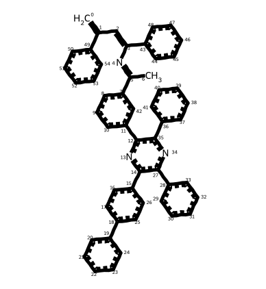 C=C(/C=C(\N=C(/C)c1cccc(-c2nc(-c3ccc(-c4ccccc4)cc3)c(-c3ccccc3)nc2-c2ccccc2)c1)c1ccccc1)c1ccccc1